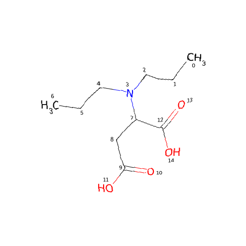 CCCN(CCC)C(CC(=O)O)C(=O)O